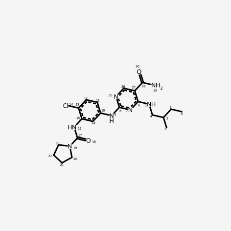 CCC(C)CNc1nc(Nc2ccc(Cl)c(NC(=O)N3CCCC3)c2)ncc1C(N)=O